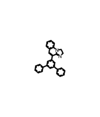 C1=C(c2cc(-c3ccccc3)cc(-c3ccccc3)c2)C2=NCCN2c2ccccc21